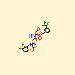 O=C(C[C@@H]1CCC(=O)N1Cc1cccc(F)c1F)N[C@@H](CC1CC1)C(=O)OCc1cccc(C(F)(F)F)c1